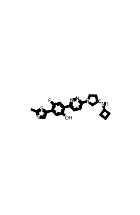 Cc1ncc(-c2cc(O)c(-c3ccc(N4CC[C@H](NC5CCC5)C4)nn3)cc2F)s1